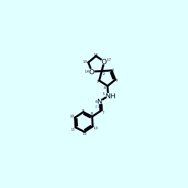 C1=CC2(CC1N/N=C/c1ccccc1)OCCO2